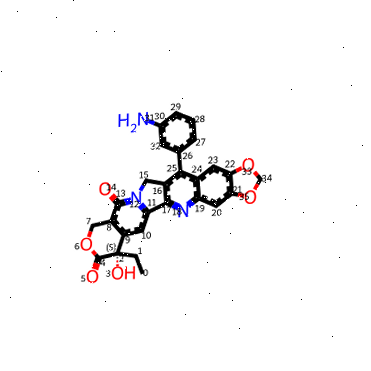 CC[C@@]1(O)C(=O)OCc2c1cc1n(c2=O)Cc2c-1nc1cc3c(cc1c2-c1cccc(N)c1)OCO3